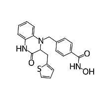 O=C(NO)c1ccc(CN2c3ccccc3NC(=O)C2Cc2cccs2)cc1